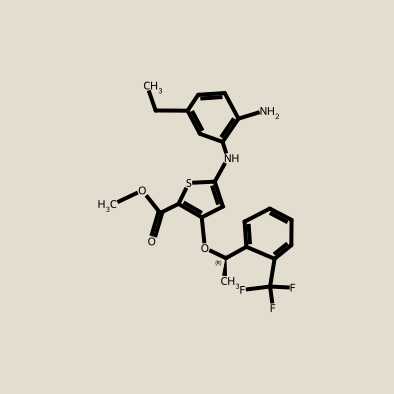 CCc1ccc(N)c(Nc2cc(O[C@H](C)c3ccccc3C(F)(F)F)c(C(=O)OC)s2)c1